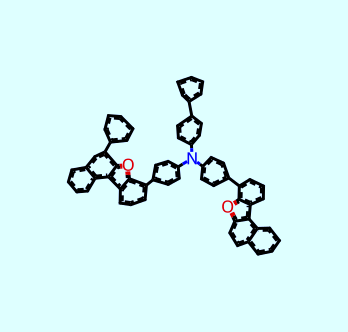 c1ccc(-c2ccc(N(c3ccc(-c4cccc5c4oc4ccc6ccccc6c45)cc3)c3ccc(-c4cccc5c4oc4c(-c6ccccc6)cc6ccccc6c45)cc3)cc2)cc1